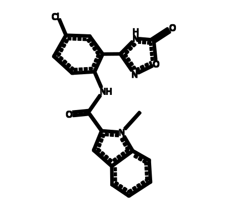 Cn1c(C(=O)Nc2ccc(Cl)cc2-c2noc(=O)[nH]2)cc2ccccc21